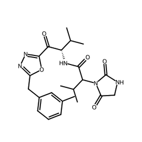 Cc1cccc(Cc2nnc(C(=O)[C@@H](NC(=O)C(C(C)C)N3C(=O)CNC3=O)C(C)C)o2)c1